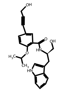 CC(C)Oc1ccc(C#CCO)cc1C(=O)N[C@@H](CO)Cc1c[nH]c2ccccc12